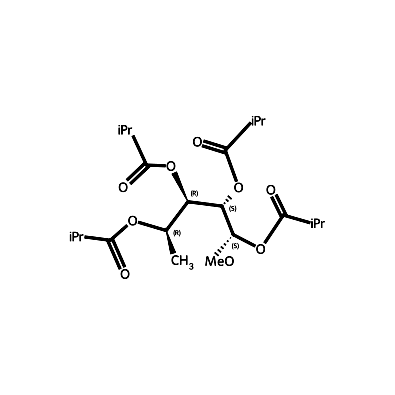 CO[C@@H](OC(=O)C(C)C)[C@@H](OC(=O)C(C)C)[C@H](OC(=O)C(C)C)[C@@H](C)OC(=O)C(C)C